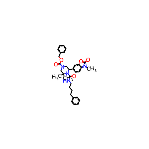 Cn1c(=O)oc2cc(C3CN(C(=O)OCc4ccccc4)CC(C)(C)N3C(=O)NCCCCc3ccccc3)ccc21